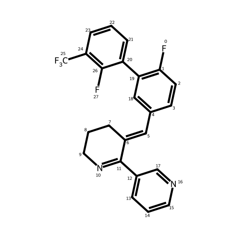 Fc1ccc(C=C2CCCN=C2c2cccnc2)cc1-c1cccc(C(F)(F)F)c1F